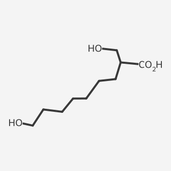 O=C(O)C(CO)CCCCCCCO